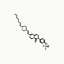 CCCCCCCC1CCC(CCc2ccc3c(F)c(-c4ccc(OC(F)(F)F)cc4)ccc3c2)CC1